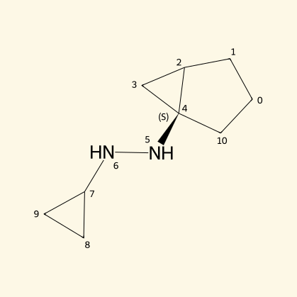 C1CC2C[C@@]2(NNC2CC2)C1